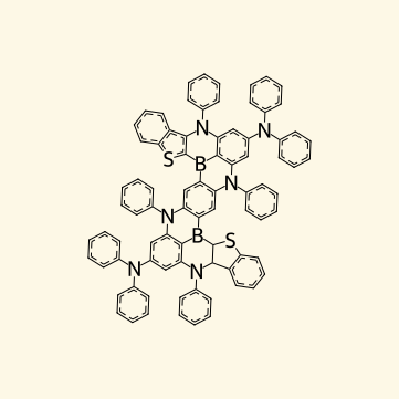 c1ccc(N(c2ccccc2)c2cc3c4c(c2)N(c2ccccc2)c2c(sc5ccccc25)B4c2cc4c(cc2N3c2ccccc2)B2c3c(cc(N(c5ccccc5)c5ccccc5)cc3N(c3ccccc3)C3c5ccccc5SC23)N4c2ccccc2)cc1